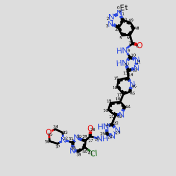 CCn1nnc2cc(C(=O)Nc3nnc(-c4ccc(-c5ccc(-c6nnc(NC(=O)c7nc(N8CCOCC8)ncc7Cl)[nH]6)nc5)cn4)[nH]3)ccc21